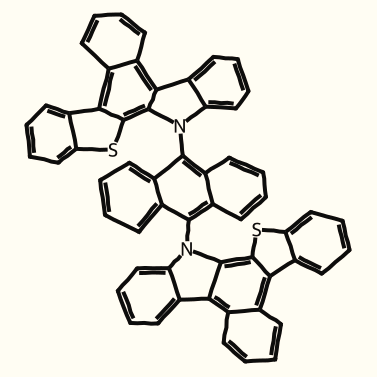 c1ccc2c(c1)sc1c2c2ccccc2c2c3ccccc3n(-c3c4ccccc4c(-n4c5ccccc5c5c6ccccc6c6c7ccccc7sc6c54)c4ccccc34)c12